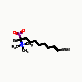 CCCCCCCCCC=CCCCCCCC(CC)(P(=O)=O)[N+](C)(C)C